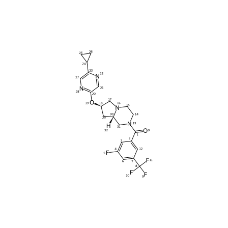 O=C(c1cc(F)cc(C(F)(F)F)c1)N1CCN2C[C@H](Oc3cnc(C4CC4)cn3)C[C@H]2C1